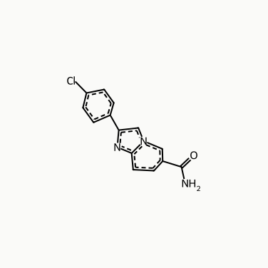 NC(=O)c1ccc2nc(-c3ccc(Cl)cc3)cn2c1